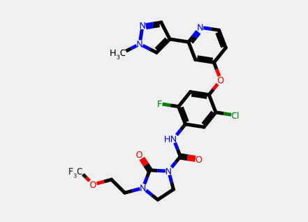 Cn1cc(-c2cc(Oc3cc(F)c(NC(=O)N4CCN(CCOC(F)(F)F)C4=O)cc3Cl)ccn2)cn1